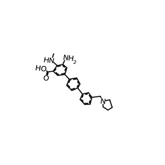 CNc1c(N)cc(-c2ccc(-c3cccc(CN4CCCC4)c3)cc2)cc1C(=O)O